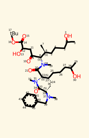 CC(O)CCC[C@H](C)[C@@H](C(=O)CC(O)C(=O)OC(C)(C)C)N(C)C(=O)[C@H]([C@@H](C)CCCC(C)O)N(C)C(=O)[C@H](C)N(C)Cc1ccccc1